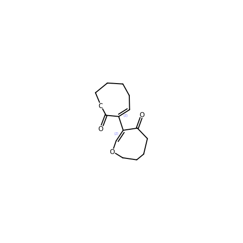 O=C1CCCCC/C=C1/C1=C/OCCCCC1=O